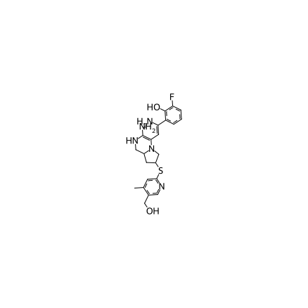 Cc1cc(SC2CC3CNC(N)=C(/C=C(\N)c4cccc(F)c4O)N3C2)ncc1CO